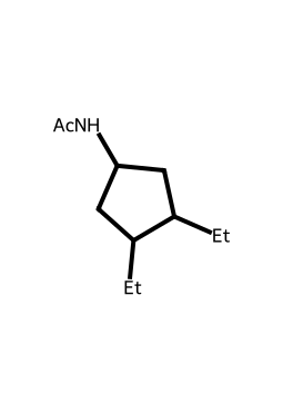 CCC1CC(NC(C)=O)CC1CC